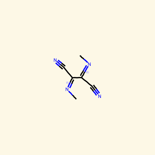 C/N=C(C#N)\C(C#N)=N/C